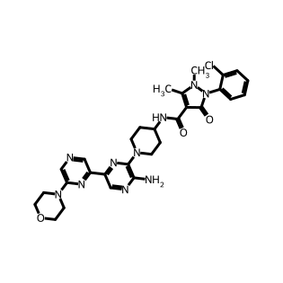 Cc1c(C(=O)NC2CCN(c3nc(-c4cncc(N5CCOCC5)n4)cnc3N)CC2)c(=O)n(-c2ccccc2Cl)n1C